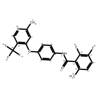 Cc1cc(Oc2ccc(NC(=O)c3c(C)ccc(F)c3F)cc2)c(C(F)(F)F)cn1